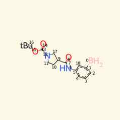 Bc1cccc(NC(=O)C2CCN(C(=O)OC(C)(C)C)C2)c1